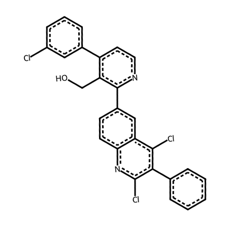 OCc1c(-c2cccc(Cl)c2)ccnc1-c1ccc2nc(Cl)c(-c3ccccc3)c(Cl)c2c1